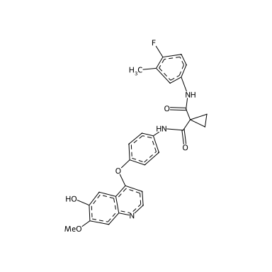 COc1cc2nccc(Oc3ccc(NC(=O)C4(C(=O)Nc5ccc(F)c(C)c5)CC4)cc3)c2cc1O